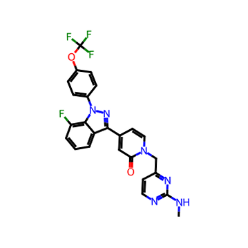 CNc1nccc(Cn2ccc(-c3nn(-c4ccc(OC(F)(F)F)cc4)c4c(F)cccc34)cc2=O)n1